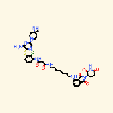 CC1(N)CCN(c2cnc(Sc3cccc(NC(=O)CC(=O)NCCCCCCCNc4cccc5c4C(=O)N(C4CCC(=O)NC4=O)C5=O)c3Cl)c(N)n2)CC1